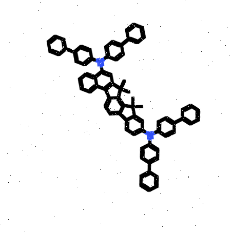 CC1(C)c2cc(N(c3ccc(-c4ccccc4)cc3)c3ccc(-c4ccccc4)cc3)ccc2-c2ccc3c(c21)C(C)(C)c1cc(N(c2ccc(-c4ccccc4)cc2)c2ccc(-c4ccccc4)cc2)c2ccccc2c1-3